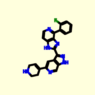 Fc1ccccc1-c1nccc2[nH]c(-c3n[nH]c4cnc(C5=CCNCC5)cc34)nc12